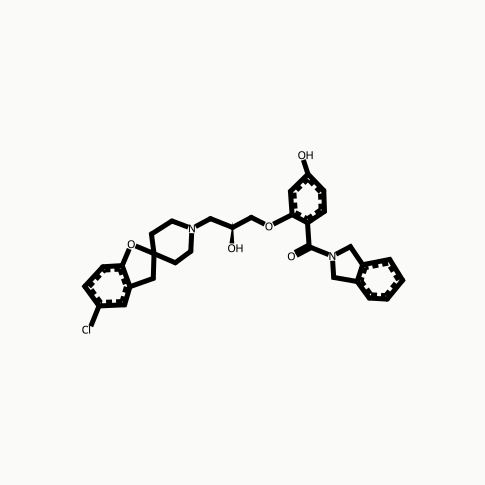 O=C(c1ccc(O)cc1OC[C@@H](O)CN1CCC2(CC1)Cc1cc(Cl)ccc1O2)N1Cc2ccccc2C1